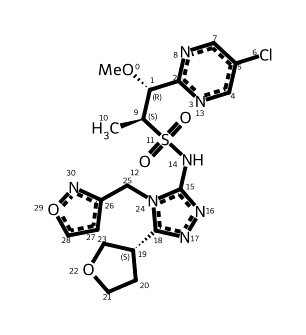 CO[C@H](c1ncc(Cl)cn1)[C@H](C)S(=O)(=O)Nc1nnc([C@@H]2CCOC2)n1Cc1ccon1